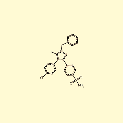 Cc1c(-c2ccc(Cl)cc2)c(-c2ccc(S(N)(=O)=O)cc2)nn1Cc1ccccc1